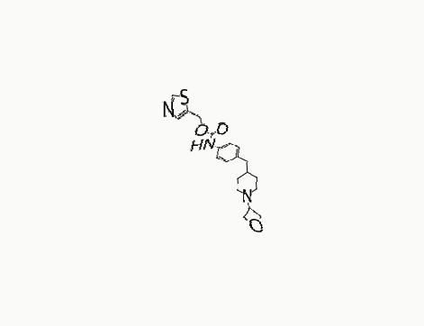 O=C(Nc1ccc(CC2CCN(C3COC3)CC2)cc1)OCc1cncs1